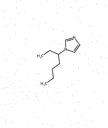 CCCCC(CC)n1c[c]nc1